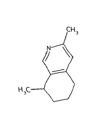 Cc1cc2c(cn1)C(C)CCC2